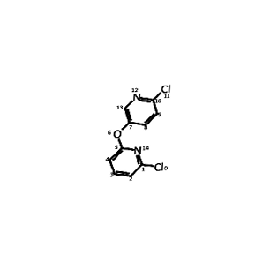 Clc1[c]ccc(Oc2ccc(Cl)nc2)n1